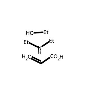 C=CC(=O)O.CCNCC.CCO